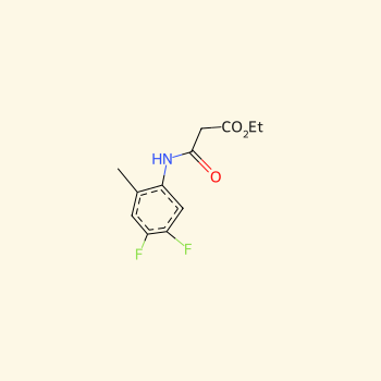 CCOC(=O)CC(=O)Nc1cc(F)c(F)cc1C